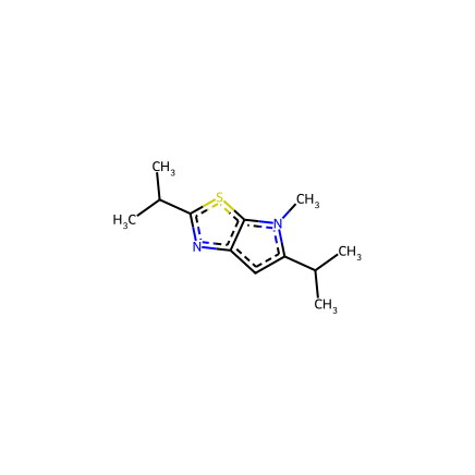 CC(C)c1nc2cc(C(C)C)n(C)c2s1